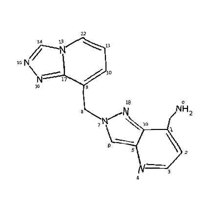 Nc1ccnc2cn(Cc3cccn4cnnc34)nc12